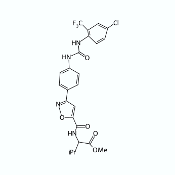 COC(=O)C(NC(=O)c1cc(-c2ccc(NC(=O)Nc3ccc(Cl)cc3C(F)(F)F)cc2)no1)C(C)C